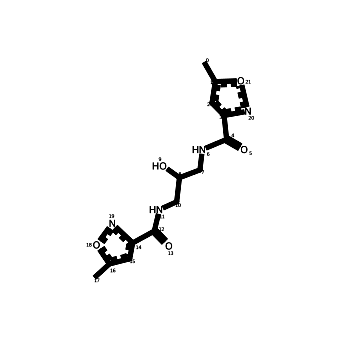 Cc1cc(C(=O)NCC(O)CNC(=O)c2cc(C)on2)no1